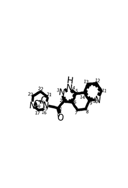 O=C(c1n[nH]c2c1CCc1ncccc1-2)N1CCN2CCC1CC2